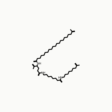 C=C(C)CCCCCCCCCCCCCCCCCCC(=C)NC(CCC(=C)NCCCCCCCC(=C)NCCCCCCCC(=C)C)C(=C)C